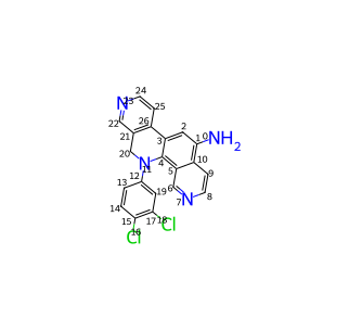 Nc1cc2c(c3cnccc13)N(c1ccc(Cl)c(Cl)c1)Cc1cnccc1-2